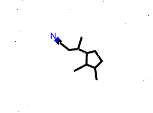 CC1CCC(C(C)CC#N)C1C